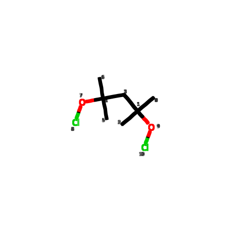 CC(C)(CC(C)(C)OCl)OCl